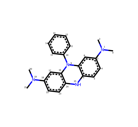 CN(C)c1ccc2c(c1)N(c1ccccc1)c1cc(N(C)C)ccc1N2